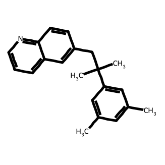 Cc1cc(C)cc(C(C)(C)Cc2ccc3ncccc3c2)c1